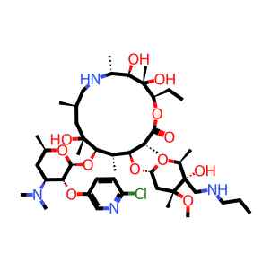 CCCNC[C@]1(O)[C@H](C)O[C@@H](O[C@H]2[C@H](C)[C@@H](O[C@@H]3O[C@H](C)C[C@H](N(C)C)[C@H]3Oc3ccc(Cl)nc3)[C@](C)(O)C[C@@H](C)CN[C@H](C)[C@@H](O)[C@](C)(O)[C@@H](CC)OC(=O)[C@@H]2C)C[C@@]1(C)OC